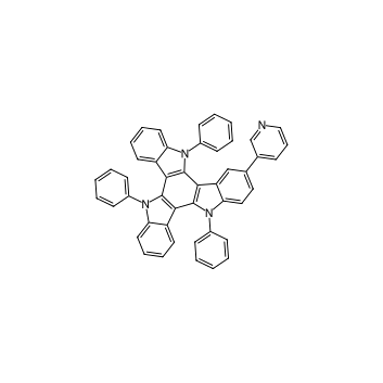 c1ccc(-n2c3ccccc3c3c2c2c4ccccc4n(-c4ccccc4)c2c2c4cc(-c5cccnc5)ccc4n(-c4ccccc4)c32)cc1